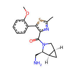 COc1ccccc1-c1sc(C)nc1C(=O)N1C[C@H]2C[C@H]2[C@H]1CN